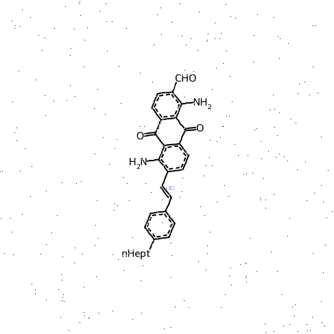 CCCCCCCc1ccc(/C=C/c2ccc3c(c2N)C(=O)c2ccc(C=O)c(N)c2C3=O)cc1